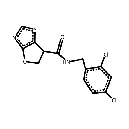 O=C(NCc1ccc(Cl)cc1Cl)C1COc2ncsc21